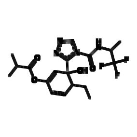 CCC1C=CC(OC(=O)C(C)C)=CC1(O)c1nncn1C(=O)NC(C)C(F)(F)F